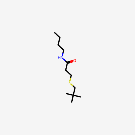 CCCCNC(=O)CCSCC(C)(C)C